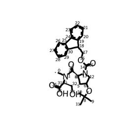 [CH2]N(C(=O)[C@@H]1CC(OC(C)(C)C)CN1C(=O)OCC1c2ccccc2-c2ccccc21)[C@@H](CO)C(=O)O